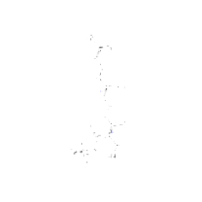 CC(C)=CCC/C(C)=C/CC/C(C)=C(/CN)C(=O)CP(=O)(O)O